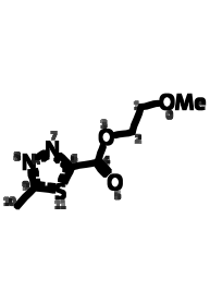 COCCOC(=O)c1nnc(C)s1